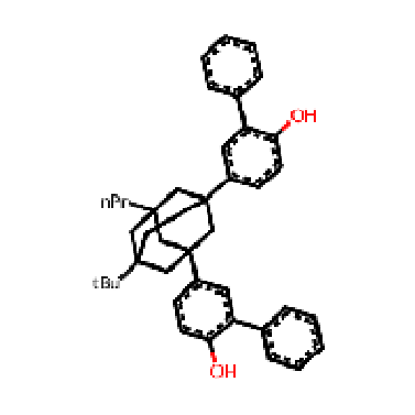 CCCC12CC3(c4ccc(O)c(-c5ccccc5)c4)CC(c4ccc(O)c(-c5ccccc5)c4)(C1)CC(C(C)(C)C)(C2)C3